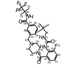 CC(C)(C)CNC(=O)Nc1c(F)cccc1C(=O)N1CCN(Cc2cccc(C(=O)NC(C)(C)C(F)(F)F)c2)CC1